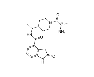 CC(NC(=O)c1cccc2c1CC(=O)N2)C1CCN(C(=O)[C@H](C)N)CC1